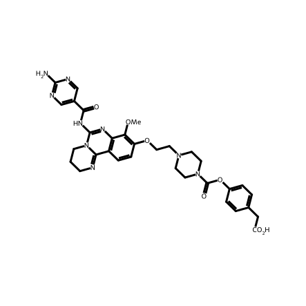 COc1c(OCCN2CCN(C(=O)Oc3ccc(CC(=O)O)cc3)CC2)ccc2c1N=C(NC(=O)c1cnc(N)nc1)N1CCCN=C21